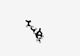 C=C(C)C(=O)NCC(=O)OC1C2C3OC1(C)C[C@@H]3OS2(=O)=O